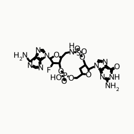 Nc1nc2c(ncn2C2OC3COP(=O)(O)OC4C(CNS(=O)(=O)OC2C3)OC(n2cnc3c(N)ncnc32)C4F)c(=O)[nH]1